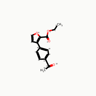 CCOC(=O)c1occc1-c1ccc(C(C)=O)cc1